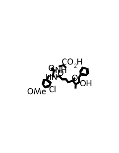 COc1ccc(C[C@@H](NC(=O)/C=C/CC2OC(c3ccccc3)C(O)C2C)C(=O)NC[C@H](C)C(=O)O)cc1Cl